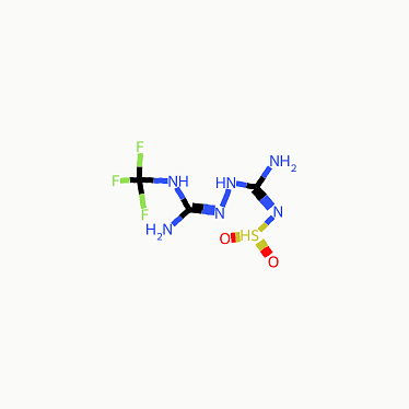 NC(=N[SH](=O)=O)NN=C(N)NC(F)(F)F